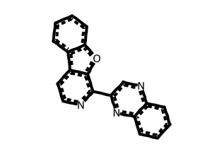 c1ccc2nc(-c3nccc4c3oc3ccccc34)cnc2c1